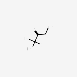 CC(C)CC(=O)C(C)(C)C(C)C